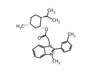 Cc1cccc(-c2n(CC(=O)O[C@@H]3C[C@H](C)CC[C@H]3C(C)C)c3ccccc3[n+]2C)c1